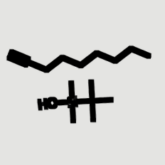 C#CCCCCCCC.CC(C)(C)[Si](C)(C)O